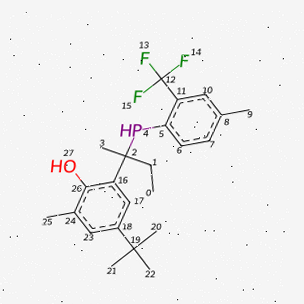 CCC(C)(Pc1ccc(C)cc1C(F)(F)F)c1cc(C(C)(C)C)cc(C)c1O